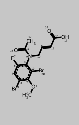 COc1c(Br)cc(F)c(N(CC=CC(=O)O)C(C)=O)c1Br